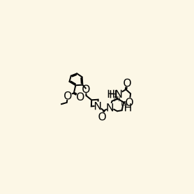 CCOC(=O)c1ccccc1OCC1CN(C(=O)N2CC[C@@H]3OCC(=O)N[C@@H]3C2)C1